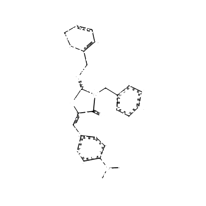 CCN(CC)c1ccc(/C=C2/O/C(=N/CC3=CC=CCC3)N(Cc3ccccc3)C2=O)cc1